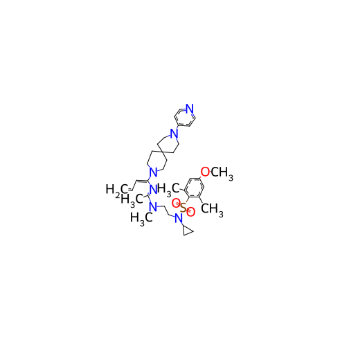 C=C/C=C(\N=C(/C)N(C)CCN(C1CC1)S(=O)(=O)c1c(C)cc(OC)cc1C)N1CCC2(CC1)CCN(c1ccncc1)CC2